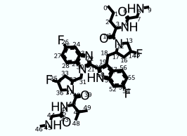 CCCC(NC(=O)CNC)C(=O)N1CC(F)CC1Cc1c(-c2nc3cc(F)ccc3n2CC2CC(F)CN2C(=O)C(NC(=O)CNC)C(C)C)[nH]c2cc(F)ccc12